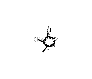 [CH2]c1csc(Cl)c1Cl